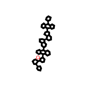 c1ccc(-c2c3ccccc3c(-c3ccc4c(-c5cccc6cc(-c7c8ccccc8c(-c8cccc9c8oc8cccc(-c%10ccccc%10)c89)c8ccccc78)ccc56)cccc4c3)c3ccccc23)cc1